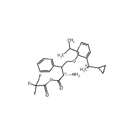 CC(C)c1cccc([C@H](C)C2CC2)c1OCC(c1ccccc1)[C@H](N)C(=O)OC(=O)C(F)(F)F